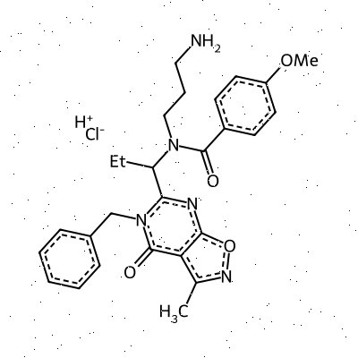 CCC(c1nc2onc(C)c2c(=O)n1Cc1ccccc1)N(CCCN)C(=O)c1ccc(OC)cc1.[Cl-].[H+]